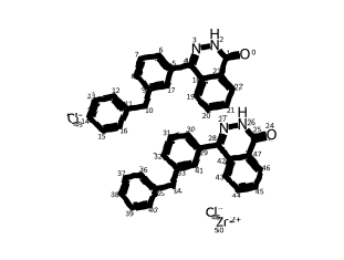 O=c1[nH]nc(-c2cccc(Cc3ccccc3)c2)c2ccccc12.O=c1[nH]nc(-c2cccc(Cc3ccccc3)c2)c2ccccc12.[Cl-].[Cl-].[Zr+2]